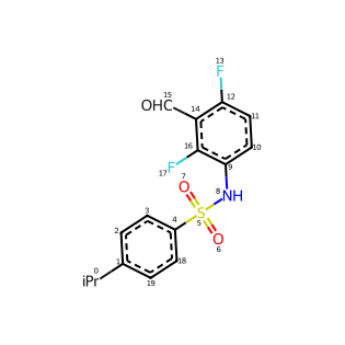 CC(C)c1ccc(S(=O)(=O)Nc2ccc(F)c(C=O)c2F)cc1